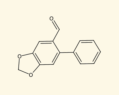 O=Cc1cc2c(cc1-c1ccccc1)OCO2